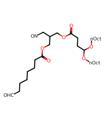 CCCCCCCCOC(CCC(=O)OCC(CN=O)COC(=O)CCCCCCC=O)OCCCCCCCC